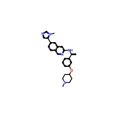 C=C(Nc1cc2cc(-c3cncn3C)ccc2cn1)c1cccc(OC2CCN(C)CC2)c1